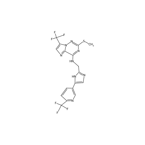 CSc1nc(NCc2ncc(-c3ccc(C(F)(F)F)nc3)[nH]2)c2ncc(C(F)(F)F)n2n1